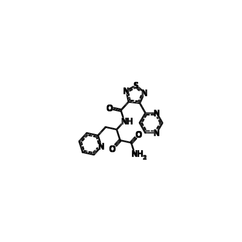 NC(=O)C(=O)C(Cc1ccccn1)NC(=O)c1nsnc1-c1ccncn1